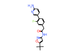 CC(C)(C)c1cc(NC(=O)Cc2ccc(-c3ccc(N)nc3)c(F)c2)no1